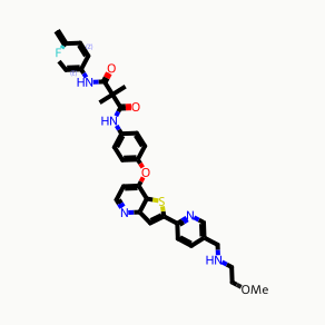 C=C(F)/C=C\C(=C/C)NC(=O)C(C)(C)C(=O)Nc1ccc(OC2=CC=NC3C=C(c4ccc(CNCCOC)cn4)SC23)cc1